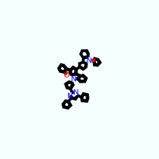 C1=CC2=C(CC1)C1CC(c3cc4c5ccccc5oc4c4c3c3ccccc3n4-c3cccc(-c4nc(-c5ccccc5)cc(-c5ccccc5)n4)c3)=CC=C1N2c1ccccc1